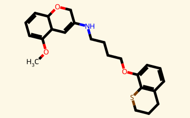 COC1=CC=CC2OCC(NCCCCOc3cccc4c3SCCC4)=CC12